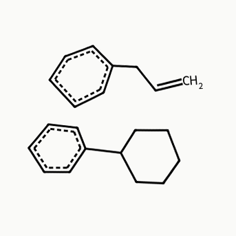 C=CCc1ccccc1.c1ccc(C2CCCCC2)cc1